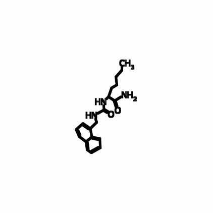 CCCCCC(NC(=O)NCc1cccc2ccccc12)C(N)=O